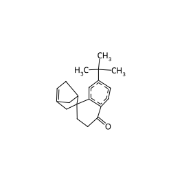 CC(C)(C)c1ccc2c(c1)C1(CCC2=O)CC2=CCC1C2